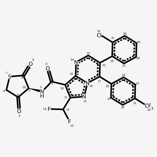 O=C(N[C@H]1C(=O)CSC1=O)c1c(C(F)F)nn2c(-c3ccc(C(F)(F)F)cc3)c(-c3ccccc3Cl)cnc12